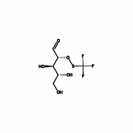 O=C[C@H](OSC(F)(F)F)[C@H](O)[C@H](O)CO